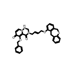 O=C1c2c(OCc3ccccc3)c(=O)ccn2NCN1C/C=C/COc1cccc2c1Cc1ccccc1SC2